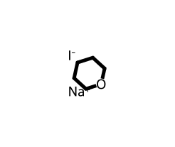 C1CCOCC1.[I-].[Na+]